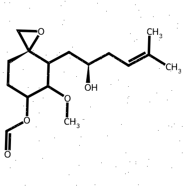 COC1C(OC=O)CC[C@]2(CO2)C1C[C@H](O)CC=C(C)C